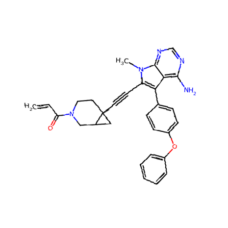 C=CC(=O)N1CCC2(C#Cc3c(-c4ccc(Oc5ccccc5)cc4)c4c(N)ncnc4n3C)CC2C1